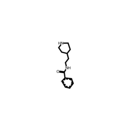 O=C(NCCC1CCNCC1)c1[c]cccc1